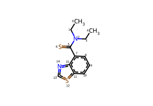 CCN(CC)C(=S)c1cccc2s[c]nc12